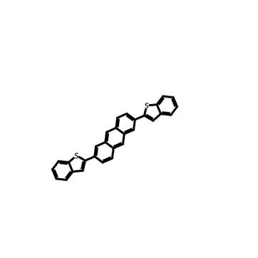 c1ccc2sc(-c3ccc4cc5cc(-c6cc7ccccc7s6)ccc5cc4c3)cc2c1